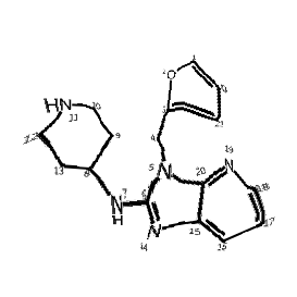 c1coc(Cn2c(NC3CCNCC3)nc3cccnc32)c1